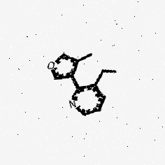 CCc1cccnc1-c1co[c]c1C